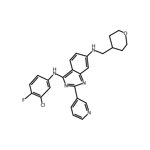 Fc1ccc(Nc2nc(-c3cccnc3)nc3cc(NCC4CCOCC4)ccc23)cc1Cl